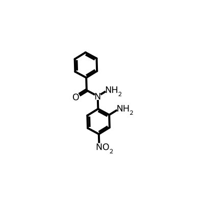 Nc1cc([N+](=O)[O-])ccc1N(N)C(=O)c1ccccc1